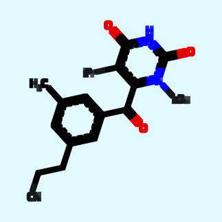 CCCCn1c(C(=O)c2cc(C)cc(CCC#N)c2)c(C(C)C)c(=O)[nH]c1=O